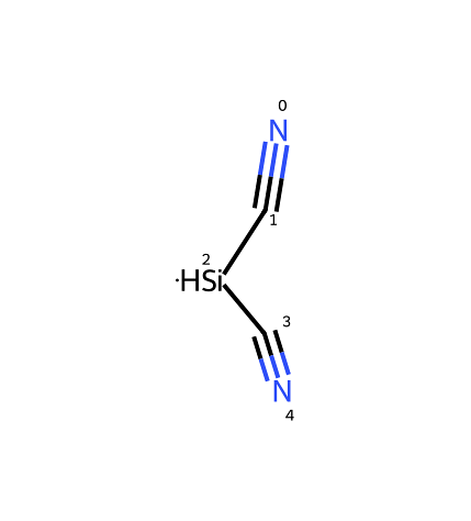 N#C[SiH]C#N